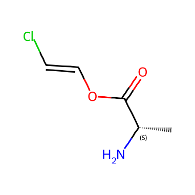 C[C@H](N)C(=O)OC=CCl